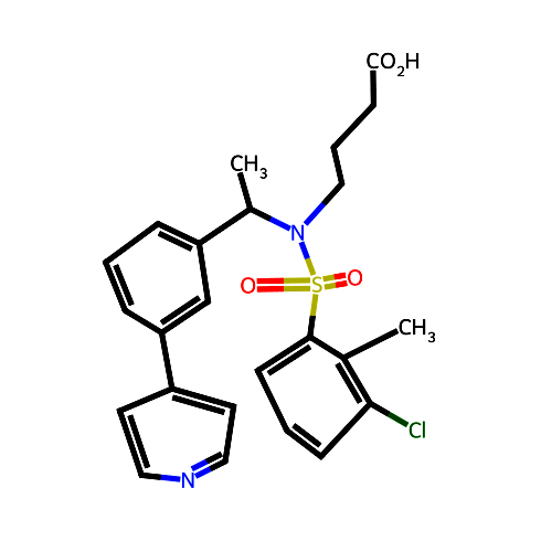 Cc1c(Cl)cccc1S(=O)(=O)N(CCCC(=O)O)C(C)c1cccc(-c2ccncc2)c1